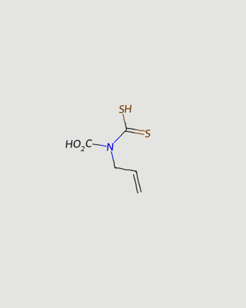 C=CCN(C(=O)O)C(=S)S